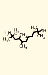 CC(CCCCC(C)(C)S)C(C)CC(C)(C)N